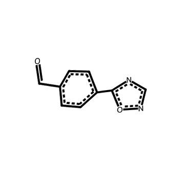 O=Cc1ccc(-c2ncno2)cc1